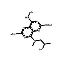 CCCNc1nc(NC)nc2c(N(C)CC(C)O)nc(NC)nc12